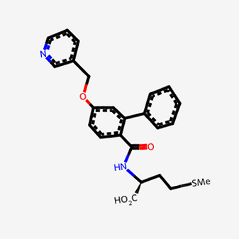 CSCC[C@H](NC(=O)c1ccc(OCc2cccnc2)cc1-c1ccccc1)C(=O)O